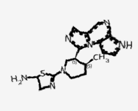 C[C@H]1CCN(C2=NCC(N)S2)C[C@H]1c1ncc2cnc3[nH]ccc3n12